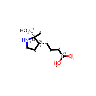 C[C@]1(C(=O)O)NCC[C@H]1CCCB(O)O